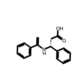 C=C(N[C@H](CC(=O)O)c1ccccc1)c1ccccc1